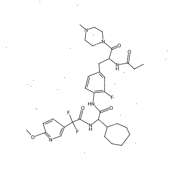 CCC(=O)NC(Cc1ccc(NC(=O)C(NC(=O)C(F)(F)c2ccc(OC)nc2)C2CCCCCC2)c(F)c1)C(=O)N1CCN(C)CC1